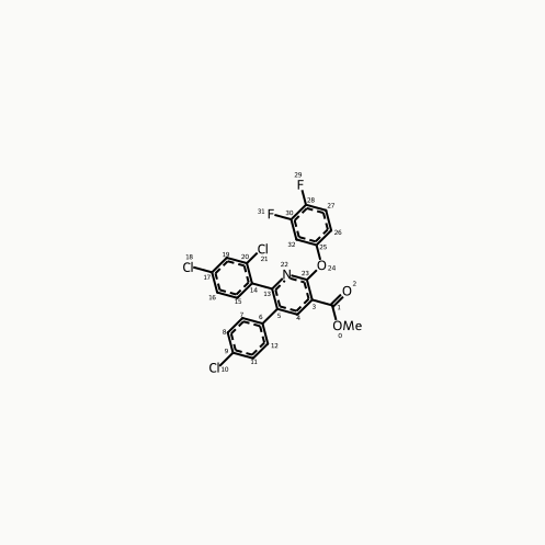 COC(=O)c1cc(-c2ccc(Cl)cc2)c(-c2ccc(Cl)cc2Cl)nc1Oc1ccc(F)c(F)c1